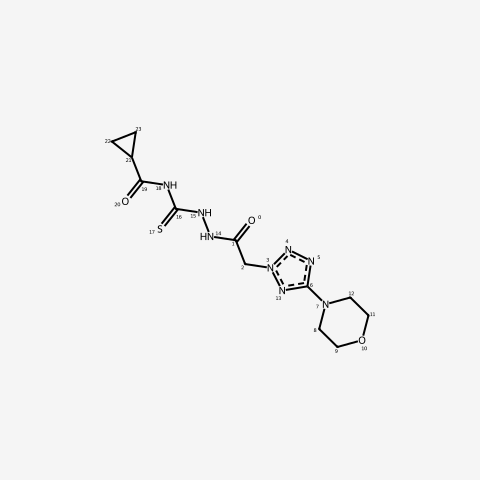 O=C(Cn1nnc(N2CCOCC2)n1)NNC(=S)NC(=O)C1CC1